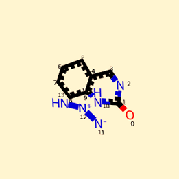 O=c1ncc2ccccc2[nH]1.[N-]=[N+]=N